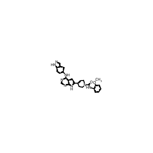 COc1ccccc1NC(=O)N1CC=C(c2cc3c(Nc4ccc5[nH]ncc5c4)ncnc3[nH]2)CC1